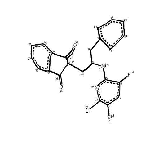 N#Cc1cc(F)c(NC(Cc2ccccc2)CN2C(=O)c3ccccc3C2=O)nc1Cl